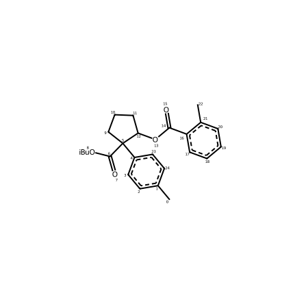 Cc1ccc(C2(C(=O)OCC(C)C)CCCC2OC(=O)c2ccccc2C)cc1